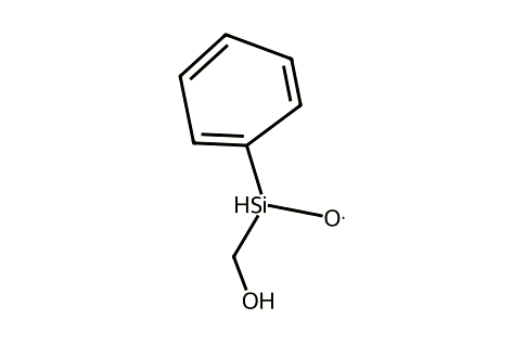 [O][SiH](CO)c1ccccc1